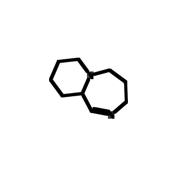 C1=NCCCN2CCCCC12